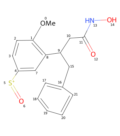 COc1ccc([S+]=O)cc1C(CC(=O)NO)Cc1ccccc1